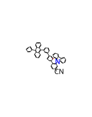 N#Cc1ccc(-c2ccc(-c3cccc(-c4c5ccccc5c(-c5ccccc5)c5ccccc45)c3)cc2)c(-n2c3ccccc3c3ccccc32)c1